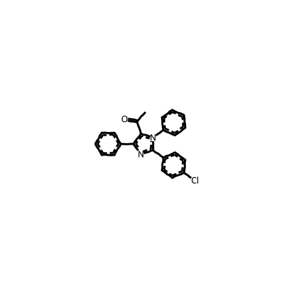 CC(=O)c1c(-c2ccccc2)nc(-c2ccc(Cl)cc2)n1-c1ccccc1